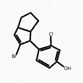 Oc1ccc(C2C(Br)=CC3CCCC32)c(Cl)c1